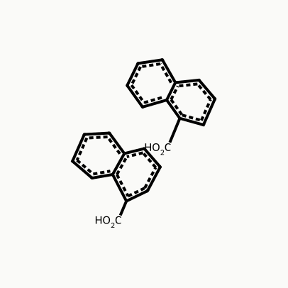 O=C(O)c1cccc2ccccc12.O=C(O)c1cccc2ccccc12